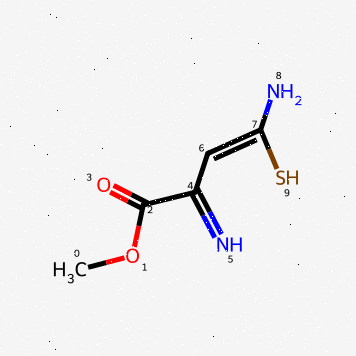 COC(=O)C(=N)/C=C(/N)S